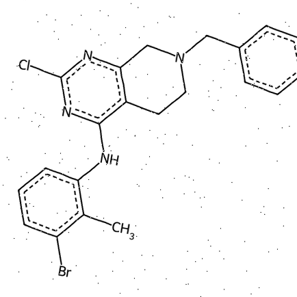 Cc1c(Br)cccc1Nc1nc(Cl)nc2c1CCN(Cc1ccccc1)C2